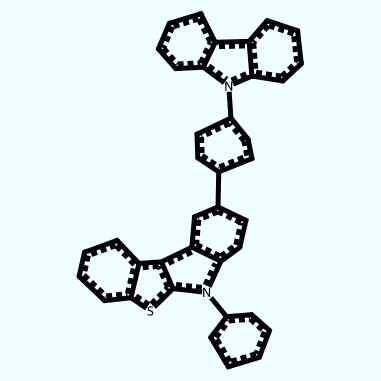 c1ccc(-n2c3ccc(-c4ccc(-n5c6ccccc6c6ccccc65)cc4)cc3c3c4ccccc4sc32)cc1